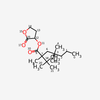 CCCC(C)(C)CC(C)(C(=O)OC1CCOC1=O)C(C)(C)C